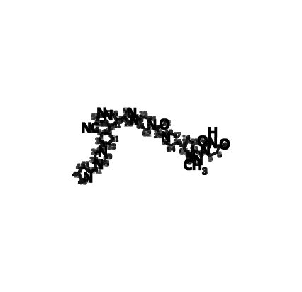 Cn1nc(N2CCC(=O)NC2=O)c2ccc(C3CCN(CC(=O)N4CCC(n5cc(-c6cc(-c7ccc(N8CCN(Cc9ccccn9)CC8)cc7)c7c(C#N)cnn7c6)cn5)CC4)CC3)cc21